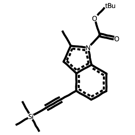 Cc1cc2c(C#C[Si](C)(C)C)cccc2n1C(=O)OC(C)(C)C